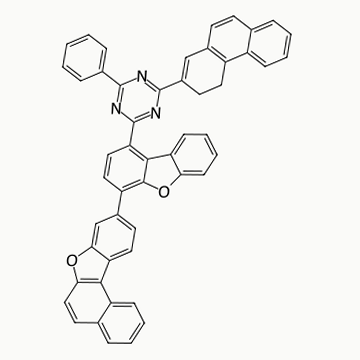 C1=C(c2nc(-c3ccccc3)nc(-c3ccc(-c4ccc5c(c4)oc4ccc6ccccc6c45)c4oc5ccccc5c34)n2)CCc2c1ccc1ccccc21